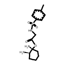 Cc1ccc(S(=O)(=O)NCC(=O)O[C@]2(N)CCCC[C@H]2N)cc1